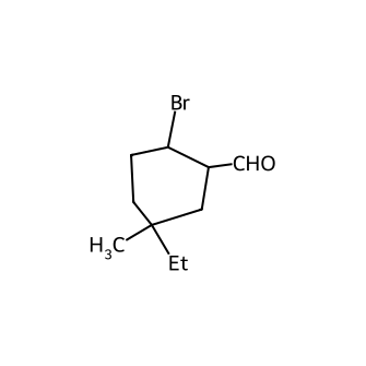 CCC1(C)CCC(Br)C(C=O)C1